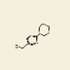 ClCc1ccc(C2CCCCC2)nc1